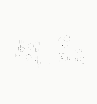 C=CC(=O)N1CCN(c2nc(OC[C@@H]3CC[C@H](COC(=O)NCc4ccc(-n5c(O)nnc5-c5cc(CC)c(O)cc5O)cc4)N3C)nc3c2CCN(c2cccc4cccc(Cl)c24)C3)C[C@@H]1CC#N